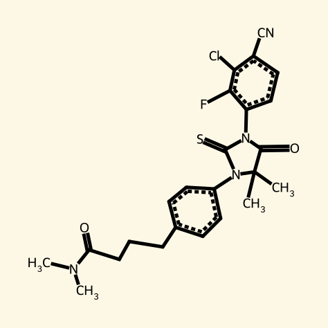 CN(C)C(=O)CCCc1ccc(N2C(=S)N(c3ccc(C#N)c(Cl)c3F)C(=O)C2(C)C)cc1